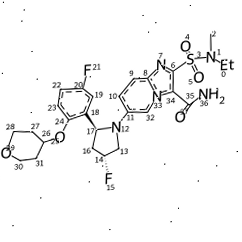 CCN(C)S(=O)(=O)c1nc2ccc(N3C[C@H](F)C[C@H]3c3cc(F)ccc3OC3CCOCC3)cn2c1C(N)=O